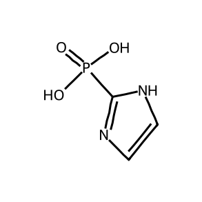 O=P(O)(O)c1ncc[nH]1